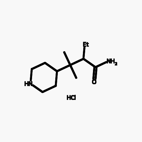 CCC(C(N)=O)C(C)(C)C1CCNCC1.Cl